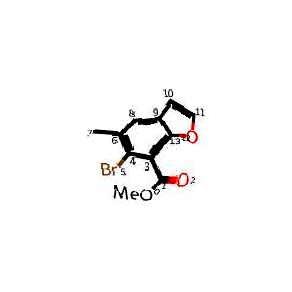 COC(=O)c1c(Br)c(C)cc2ccoc12